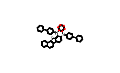 c1ccc(-c2ccc(N(c3ccccc3)c3ccc4c(sc5c6ccccc6ccc45)c3N(c3ccccc3)c3ccc(-c4ccccc4)cc3)cc2)cc1